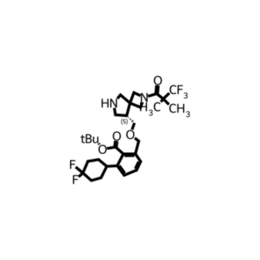 CC(C)(C)OC(=O)c1c(COC[C@@H]2CNCC23CN(C(=O)C(C)(C)C(F)(F)F)C3)cccc1C1CCC(F)(F)CC1